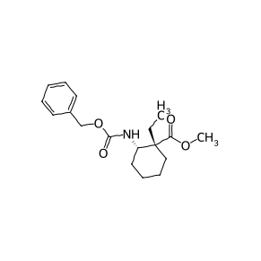 CC[C@@]1(C(=O)OC)CCCC[C@@H]1NC(=O)OCc1ccccc1